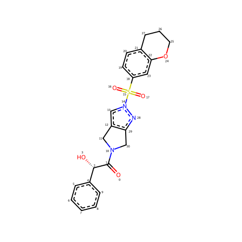 O=C([C@@H](O)c1ccccc1)N1Cc2cn(S(=O)(=O)c3ccc4c(c3)OCCC4)nc2C1